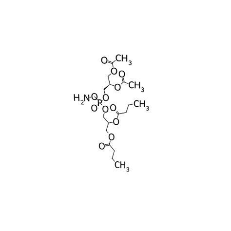 CCCC(=O)OCC(COP(=O)(ON)OC[C@@H](COC(C)=O)OC(C)=O)OC(=O)CCC